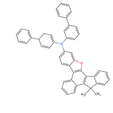 CC1(C)c2ccccc2-c2c1c1ccccc1c1c2oc2cc(N(C3=CCC(c4ccccc4)C=C3)c3cccc(-c4ccccc4)c3)ccc21